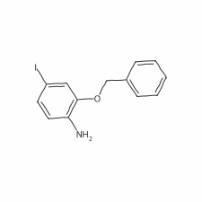 Nc1ccc(I)cc1OCc1ccccc1